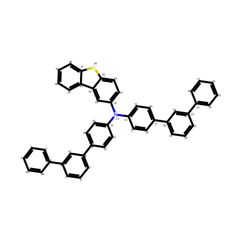 c1ccc(-c2cccc(-c3ccc(N(c4ccc(-c5cccc(-c6ccccc6)c5)cc4)c4ccc5sc6ccccc6c5c4)cc3)c2)cc1